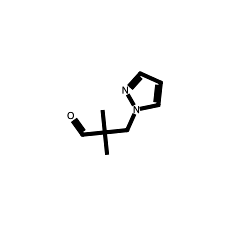 CC(C)(C=O)Cn1cccn1